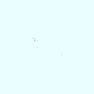 ClCCCCSc1cccnc1